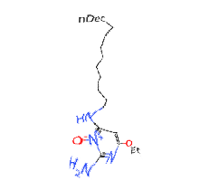 CCCCCCCCCCCCCCCCCNc1cc(OCC)nc(N)[n+]1[O-]